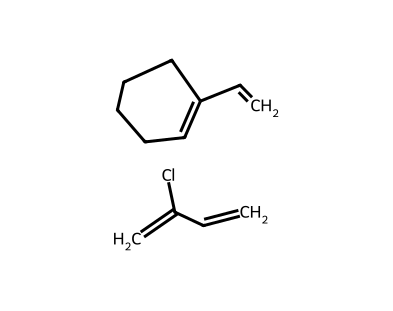 C=CC(=C)Cl.C=CC1=CCCCC1